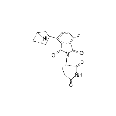 O=C1CCC(N2C(=O)c3c(F)ccc(C4CC5CC(C4)N5)c3C2=O)C(=O)N1